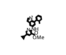 COC(=O)c1cc(C2CC2)cnc1Nc1cc(C2=CC=CCC2C)c2c(ccn2C)c1